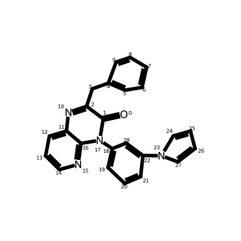 O=c1c(Cc2ccccc2)nc2cccnc2n1-c1cccc(-n2cccc2)c1